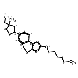 CCCCCCOc1nc2c(s1)-c1ccc([C@H]3CC[C@](N)(CO)C3)cc1CC2